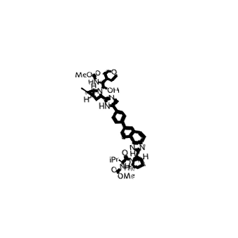 COC(=O)N[C@@H](C1CCOCC1)C(O)N1C(c2ncc(-c3ccc(-c4ccc5c(ccc6nc(C7[C@H]8CC[C@H](C8)N7C(=O)[C@@H](NC(=O)OC)C(C)C)[nH]c65)c4)cc3)[nH]2)C[C@H]2[C@@H](C)[C@H]21